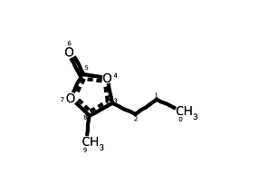 CCCc1oc(=O)oc1C